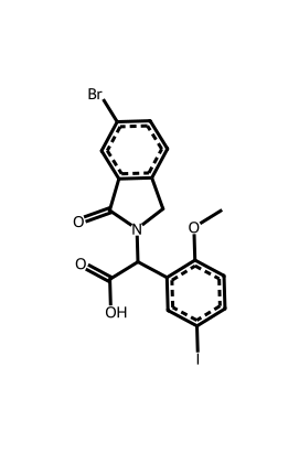 COc1ccc(I)cc1C(C(=O)O)N1Cc2ccc(Br)cc2C1=O